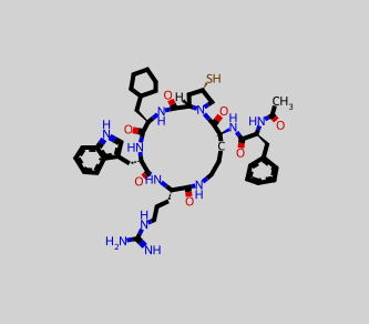 CC(=O)N[C@@H](Cc1ccccc1)C(=O)N[C@H]1CCCNC(=O)[C@H](CCCNC(=N)N)NC(=O)[C@H](Cc2c[nH]c3ccccc23)NC(=O)[C@@H](CC2CCCCC2)NC(=O)[C@@H]2C[C@H](S)CN2C1=O